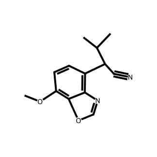 COc1ccc(C(C#N)C(C)C)c2ncoc12